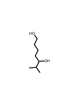 CC(I)C(O)CCCCO